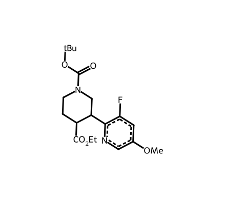 CCOC(=O)C1CCN(C(=O)OC(C)(C)C)CC1c1ncc(OC)cc1F